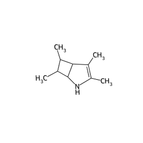 CC1=C(C)C2C(C)C(C)C2N1